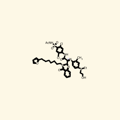 CCN(CCO)c1ccc(/N=C(/C(=O)Nc2cc(Cl)c(S(=O)(=O)NC(C)=O)cc2Cl)c2nc3ccccc3c(=O)n2CCCCCCCc2ccco2)c(C)c1